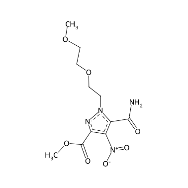 COCCOCCn1nc(C(=O)OC)c([N+](=O)[O-])c1C(N)=O